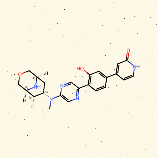 CN(c1cnc(-c2ccc(-c3cc[nH]c(=O)c3)cc2O)cn1)[C@H]1C[C@@H]2COC[C@@H](N2)[C@H]1F